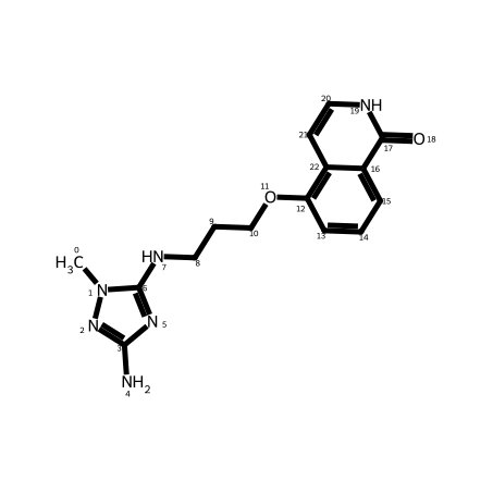 Cn1nc(N)nc1NCCCOc1cccc2c(=O)[nH]ccc12